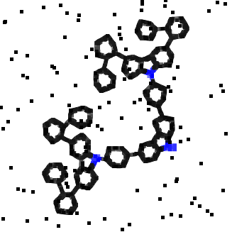 c1ccc(-c2ccccc2-c2ccc3c(c2)c2cc(-c4ccccc4-c4ccccc4)ccc2n3-c2ccc(-c3ccc4[nH]c5ccc(-c6ccc(-n7c8ccc(-c9ccccc9-c9ccccc9)cc8c8cc(-c9ccccc9-c9ccccc9)ccc87)cc6)cc5c4c3)cc2)cc1